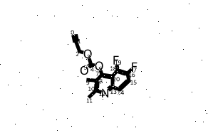 C#CCOC(=O)Oc1c(C)c(C)nc2ccc(F)c(F)c12